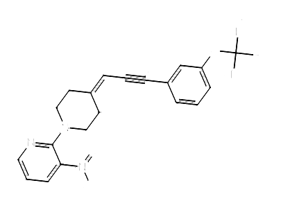 O=[N+]([O-])c1cccnc1N1CCC(=CC#Cc2cccc(OC(F)(F)F)c2)CC1